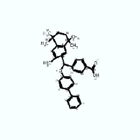 Cc1cc2c(cc1C(Oc1ccc(-c3ccccc3)cc1)c1ccc(C(=O)O)cc1)C(C)(C)CCC2(C)C